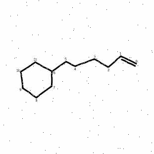 C=CCCCCC1CCCCC1